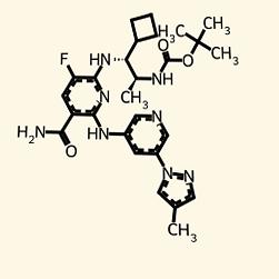 Cc1cnn(-c2cncc(Nc3nc(N[C@H](C4CCC4)[C@H](C)NC(=O)OC(C)(C)C)c(F)cc3C(N)=O)c2)c1